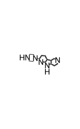 c1cc2[nH]c3nc(N4CCNCC4)ccc3c2cn1